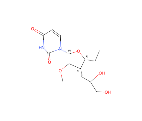 CC[C@H]1O[C@@H](n2ccc(=O)[nH]c2=O)C(OC)[C@H]1CC(O)CO